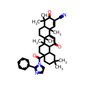 CC1(C)CCC2(C(=O)n3ccnc3-c3ccccc3)CCC3(C)C(C(=O)C=C4C5(C)C=C(C#N)C(=O)C(C)(C)C5CCC43C)C2C1